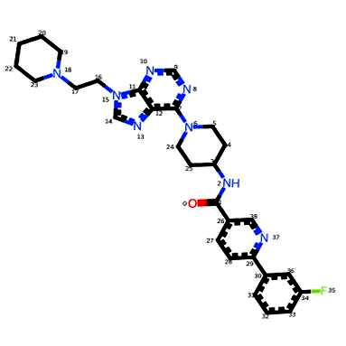 O=C(NC1CCN(c2ncnc3c2ncn3CCN2CCCCC2)CC1)c1ccc(-c2cccc(F)c2)nc1